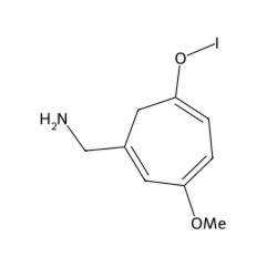 COC1=CC=C(OI)CC(CN)=C1